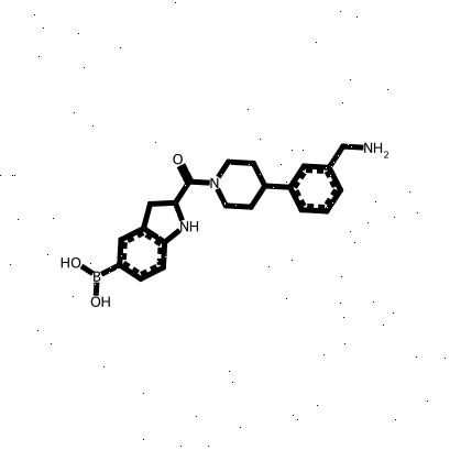 NCc1cccc(C2CCN(C(=O)C3Cc4cc(B(O)O)ccc4N3)CC2)c1